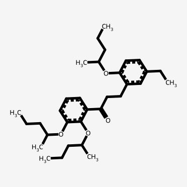 CCCC(C)Oc1ccc(CC)cc1CCC(=O)c1cccc(OC(C)CCC)c1OC(C)CCC